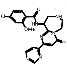 COc1cc(Cl)ccc1C(=O)NC1CNCCn2c1nc(-c1ccncn1)cc2=O